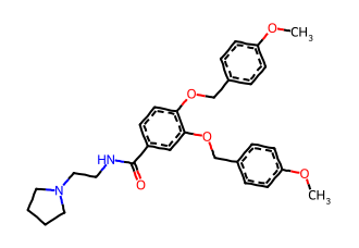 COc1ccc(COc2ccc(C(=O)NCCN3CCCC3)cc2OCc2ccc(OC)cc2)cc1